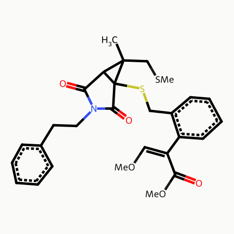 COC=C(C(=O)OC)c1ccccc1CSC12C(=O)N(CCc3ccccc3)C(=O)C1C2(C)CSC